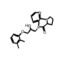 Cc1cccc(OCC(O)CN2C(=O)C3CCCN3c3ncccc32)c1C